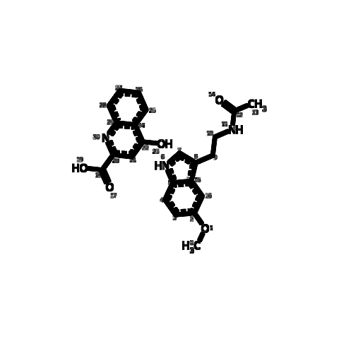 COc1ccc2[nH]cc(CCNC(C)=O)c2c1.O=C(O)c1cc(O)c2ccccc2n1